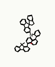 CC1(C)c2ccccc2-c2cccc(-c3ccc(N(c4ccc5c(c4)C4(CCc6ccccc64)c4ccccc4-5)c4ccccc4-c4ccccc4)cc3)c21